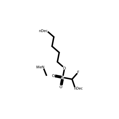 CCCCCCCCCCCCCCOS(=O)(=O)C(F)CCCCCCCCCC.CNC